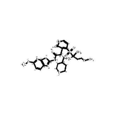 COCCC(C)(C)S(=O)(=O)c1cc[nH]c(=O)c1[C@H](CC1CCOCC1)C(=O)Nc1nc2ccc(OC)nc2s1